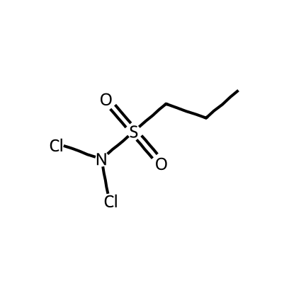 CCCS(=O)(=O)N(Cl)Cl